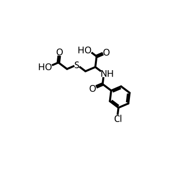 O=C(O)CSCC(NC(=O)c1cccc(Cl)c1)C(=O)O